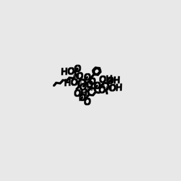 CCCCCCC[C@H](OC1C(OC(=O)c2ccccc2)[C@H](O[C@@H]2CC(C(=O)OC)CC(C)C2O[C@@H]2OC(C)[C@@H](O)C(O)C2O)OC(CO)[C@@H]1O)C(=O)O